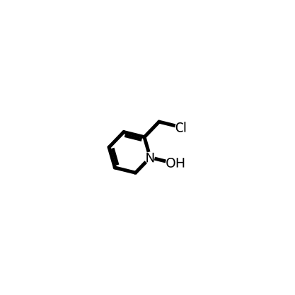 ON1CC=CC=C1CCl